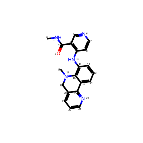 CNC(=O)c1cnccc1Nc1cccc2c1N(C)Cc1cccnc1-2